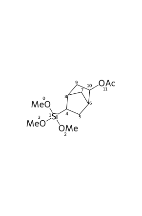 CO[Si](OC)(OC)C1CC2CC1CC2OC(C)=O